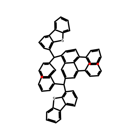 c1ccc(-c2ccc(C(c3ccccc3)c3cccc4c3sc3ccccc34)c3cc(C(c4ccccc4)c4cccc5c4sc4ccccc45)cc(-c4ccccc4)c23)cc1